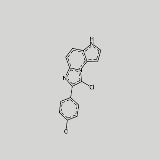 Clc1ccc(-c2nc3ccc4[nH]ccc4n3c2Cl)cc1